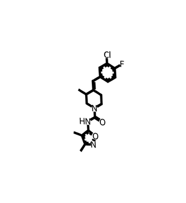 Cc1noc(NC(=O)N2CCC(=Cc3ccc(F)c(Cl)c3)C(C)C2)c1C